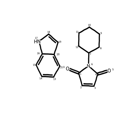 O=C1C=CC(=O)N1C1CCCCC1.c1ccc2[nH]ccc2c1